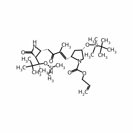 C=CCOC(=O)N1C[C@@H](O[Si](C)(C)C(C)(C)C)C[C@H]1/C=C(\C)C(=O)C[C@H]1NC(=O)[C@@H]1[C@@](C)(O[SiH](C)C)C(C)(C)C